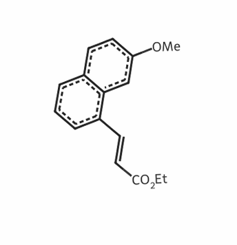 CCOC(=O)C=Cc1cccc2ccc(OC)cc12